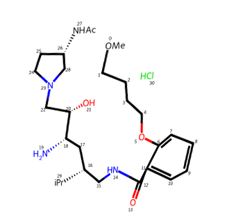 COCCCCOc1ccccc1C(=O)NC[C@@H](C[C@H](N)[C@@H](O)CN1CC[C@H](NC(C)=O)C1)C(C)C.Cl